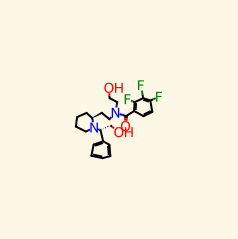 O=C(c1ccc(F)c(F)c1F)N(CCO)CC[C@@H]1CCCCN1[C@H](CO)c1ccccc1